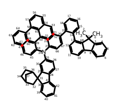 CC1(C)c2ccccc2-c2cccc(-c3ccccc3-c3ccc(N(c4ccc5c(c4)C4(CC6CCC4C6)c4ccccc4-5)c4ccccc4-c4cccc5cccc(-c6ccccc6)c45)cc3)c21